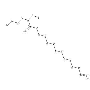 CCCCC(CC)C(=O)CCCCCCCCCCC[C]=O